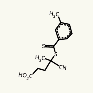 Cc1cccc(C(=S)SC(C)(C#N)CCC(=O)O)c1